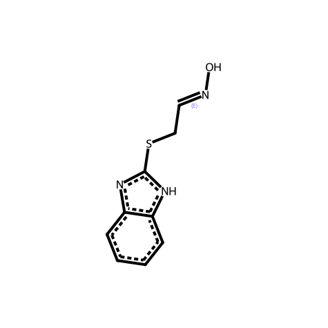 O/N=C/CSc1nc2ccccc2[nH]1